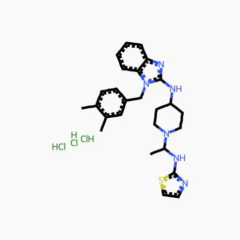 Cc1ccc(Cn2c(NC3CCN(C(C)Nc4nccs4)CC3)nc3ccccc32)cc1C.Cl.Cl.Cl